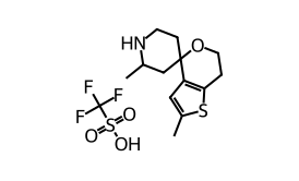 Cc1cc2c(s1)CCOC21CCNC(C)C1.O=S(=O)(O)C(F)(F)F